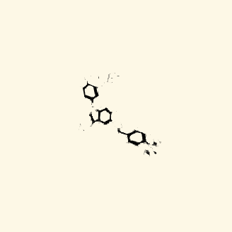 CCOC(=O)c1ccc(-n2cc(C#N)c3cc(OCc4ccc(S(C)(=O)=O)cc4)ccc32)cc1